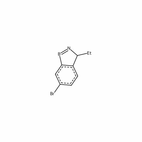 CCC1N=Bc2cc(Br)ccc21